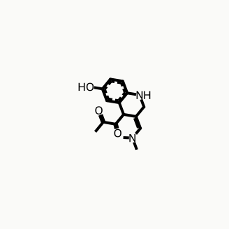 CC(=O)C(=O)C1/C(=C\N(C)C)CNc2ccc(O)cc21